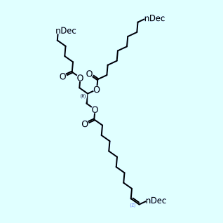 CCCCCCCCCC/C=C\CCCCCCCCCC(=O)OC[C@@H](COC(=O)CCCCCCCCCCCCCC)OC(=O)CCCCCCCCCCCCCCCCCC